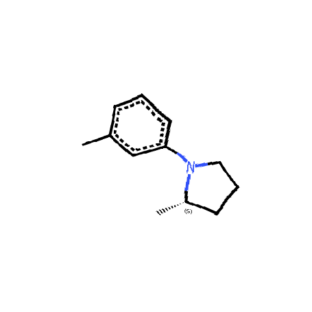 Cc1cccc(N2CCC[C@@H]2C)c1